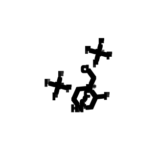 FC1C[NH+]2CC[N+]1(CCl)CC2.F[B-](F)(F)F.F[B-](F)(F)F